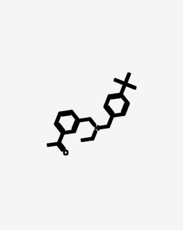 CCN(Cc1ccc(C(C)(C)C)cc1)Cc1cccc(C(C)=O)c1